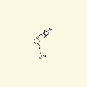 CCC(=O)CCCCN1CCC[C@@H](Cn2cc(C(C)C)cn2)C1